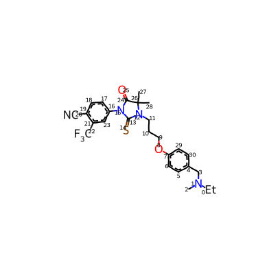 CCN(C)Cc1ccc(OCCCN2C(=S)N(c3ccc(C#N)c(C(F)(F)F)c3)C(=O)C2(C)C)cc1